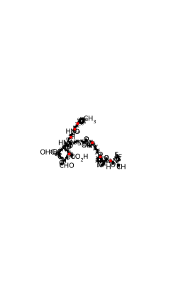 C#C[C@H]1CC(F)(F)CN1C(=O)CNC(=O)c1ccnc2ccc(OCCCCN3CCN(C(=O)[C@H](O)CSCCNC(=O)[C@H](CCCCNC(=O)CCCc4ccc(C)cc4)NC(=O)CN4CCN(COC=O)CCN(COC=O)CCN(CC(=O)O)CC4)CC3)cc12